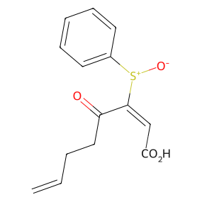 C=CCCC(=O)C(=CC(=O)O)[S+]([O-])c1ccccc1